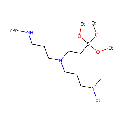 CCCNCCCN(CCCN(C)CC)CC[Si](OCC)(OCC)OCC